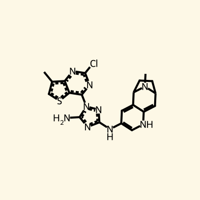 Cc1csc2c(-n3nc(NC4=CNC5=CC6CCC(C5=C4)N6C)nc3N)nc(Cl)nc12